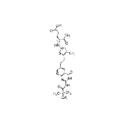 Cc1cc(N[C@@H](CCC(=O)O)C(=O)O)sc1CCc1cnc2nc(NC(=O)C(C)(C)C)[nH]c(=O)c2c1